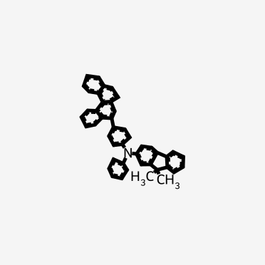 CC1(C)c2ccccc2-c2ccc(N(c3ccccc3)c3ccc(-c4cc5ccc6ccccc6c5c5ccccc45)cc3)cc21